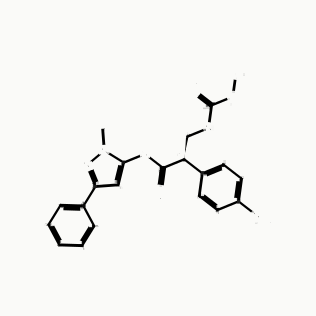 Cn1nc(-c2ccccc2)cc1NC(=O)[C@@H](CNC(=O)OC(C)(C)C)c1ccc(N)cc1